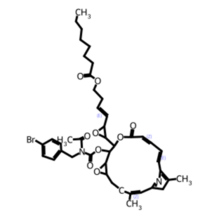 CCCCCCCC(=O)OCC/C=C/C1OC1C1OC(=O)/C=C\C=C\C2=C(C)CC(=N2)/C=C(/C)CCC2OC2C1OC(=O)N(Cc1ccc(Br)cc1)C(C)=O